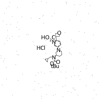 CC(C)(C)OC(=O)N(CC1CC1)[C@@H]1CCCN(c2ccc(C3(C(=O)O)COC3)nc2)C1.Cl